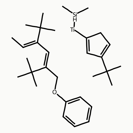 CC=C(C=C(COc1ccccc1)C(C)(C)C)C(C)(C)C.C[SiH](C)[Ti][C]1=CC(C(C)(C)C)=CC1